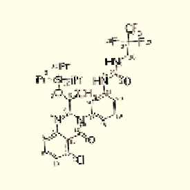 CC(C)[Si](O[C@@H](C)c1nc2cccc(Cl)c2c(=O)n1-c1cccc(NC(=O)NCC(F)(F)C(F)(F)F)c1)(C(C)C)C(C)C